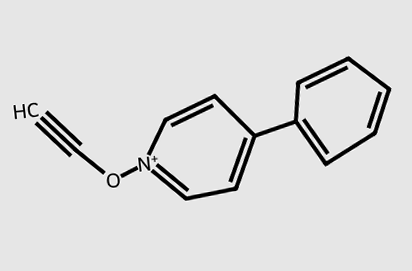 C#CO[n+]1ccc(-c2ccccc2)cc1